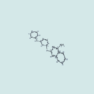 Nc1nc(Cc2cccc(Oc3ccccc3)c2)nc2ccccc12